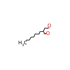 CCCCCCCCC([C]=O)C[C]=O